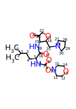 CC(C)CC[C@H](NC(=O)ON1CCOCC1)C(=O)NC1C(=O)COC1CN1CCCC1